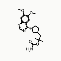 COc1cc2ncnc(N3CCC(CC(C)(C)OC(N)=O)C3)c2cc1OC